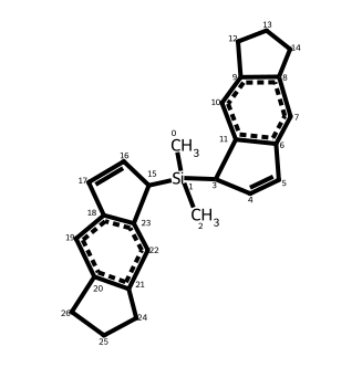 C[Si](C)(C1C=Cc2cc3c(cc21)CCC3)C1C=Cc2cc3c(cc21)CCC3